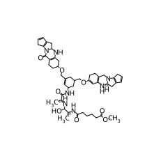 COC(=O)CCCCC(=O)N[C@@H](C)C(O)N[C@@H](C)C(=O)NC1C=C(COC2CCC3=C(C2)NC2CC4=C(CC=C4)N2C3=O)CC(COC2=CC3=C(CC2)CN2C4=C(C=CC4)C[C@H]2N3)C1